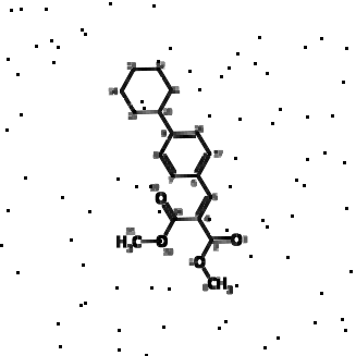 COC(=O)C(=Cc1ccc(C2CCCCC2)cc1)C(=O)OC